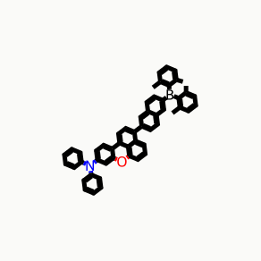 Cc1cccc(C)c1B(c1ccc2cc(-c3ccc4c5c(cccc35)Oc3cc(N(c5ccccc5)c5ccccc5)ccc3-4)ccc2c1)c1c(C)cccc1C